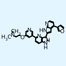 CN(C)CCOc1cncc(-c2ccc3[nH]nc(-c4cc5c(-c6ccoc6)ccnc5[nH]4)c3n2)c1